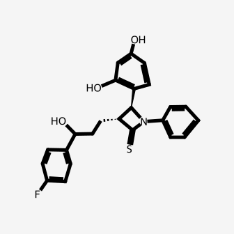 Oc1ccc([C@@H]2[C@@H](CCC(O)c3ccc(F)cc3)C(=S)N2c2ccccc2)c(O)c1